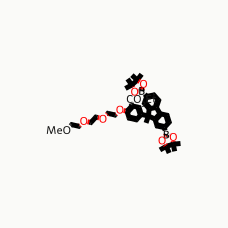 CCOC(=O)c1cc(C2(C)c3cc(B4OC(C)(C)C(C)(C)O4)ccc3-c3ccc(B4OC(C)(C)C(C)(C)O4)cc32)ccc1OCCOCCOCCOC